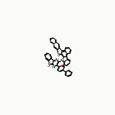 c1ccc(-c2ccc(-c3nc4sc5ccccc5c4nc3-n3c4ccccc4c4c5ccccc5c5c6cc7ccccc7cc6sc5c43)cc2)cc1